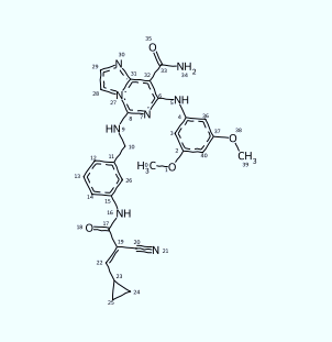 COc1cc(Nc2nc(NCc3cccc(NC(=O)C(C#N)=CC4CC4)c3)n3ccnc3c2C(N)=O)cc(OC)c1